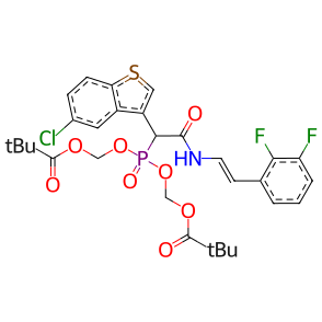 CC(C)(C)C(=O)OCOP(=O)(OCOC(=O)C(C)(C)C)C(C(=O)N/C=C/c1cccc(F)c1F)c1csc2ccc(Cl)cc12